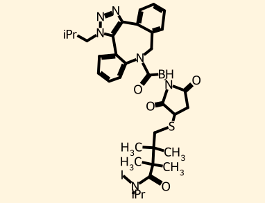 CC(C)Cn1nnc2c1-c1ccccc1N(C(=O)BN1C(=O)CC(SCC(C)(C)C(C)(C)C(=O)N(I)C(C)C)C1=O)Cc1ccccc1-2